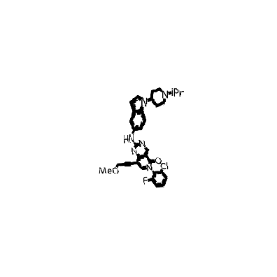 COCC#Cc1cn(-c2c(F)cccc2Cl)c(=O)c2cnc(Nc3ccc4c(ccn4C4CCN(C(C)C)CC4)c3)nc12